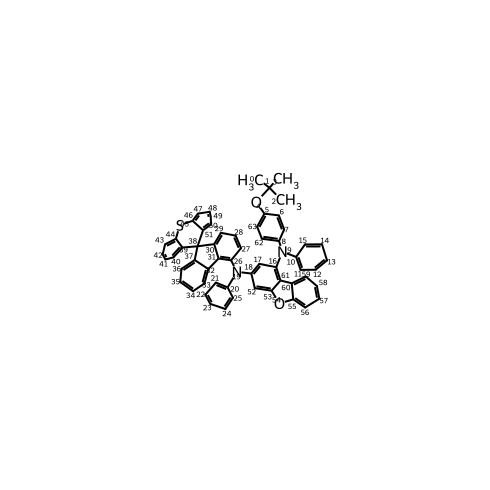 CC(C)(C)Oc1ccc(N(c2ccccc2)c2cc(N(c3ccccc3)c3cccc4c3-c3ccccc3C43c4ccccc4Sc4ccccc43)cc3oc4ccccc4c23)cc1